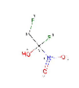 O=[N+]([O-])C(O)(F)CF